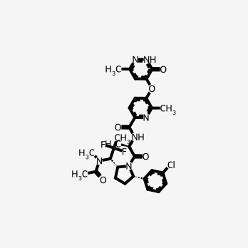 CC(=O)N(C)C([C@H]1CC[C@@H](c2cccc(Cl)c2)N1C(=O)[C@@H](C)NC(=O)c1ccc(Oc2cc(C)n[nH]c2=O)c(C)n1)C(C)(F)F